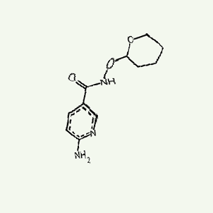 Nc1ccc(C(=O)NOC2CCCCO2)cn1